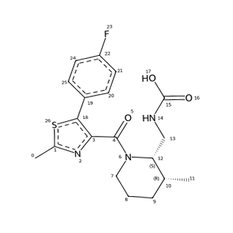 Cc1nc(C(=O)N2CCC[C@@H](C)[C@H]2CNC(=O)O)c(-c2ccc(F)cc2)s1